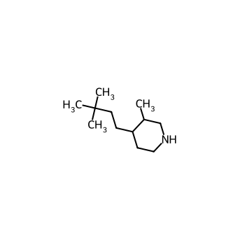 CC1CNCCC1CCC(C)(C)C